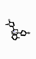 Cc1ccccc1[C@@H](C/C(=N\O)c1ccc(=O)n(C)c1)c1ccc(Br)cc1